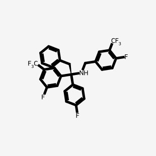 Fc1ccc([C@@](Cc2ccccc2)(NCc2ccc(F)c(C(F)(F)F)c2)c2cc(F)cc(C(F)(F)F)c2)cc1